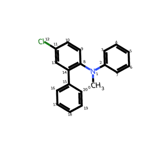 CN(c1ccccc1)c1ccc(Cl)cc1-c1ccccc1